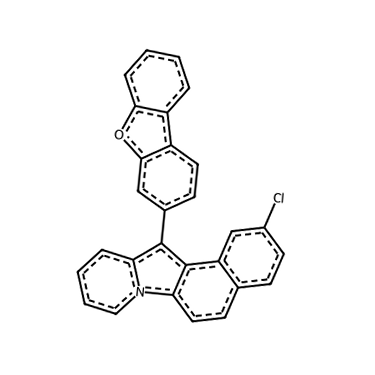 Clc1ccc2ccc3c(c(-c4ccc5c(c4)oc4ccccc45)c4ccccn43)c2c1